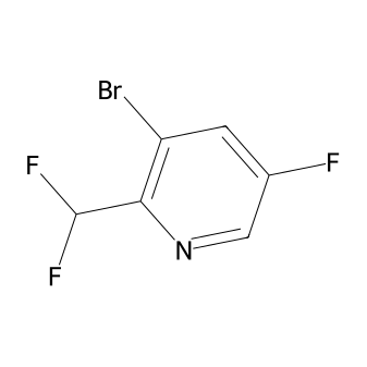 Fc1cnc(C(F)F)c(Br)c1